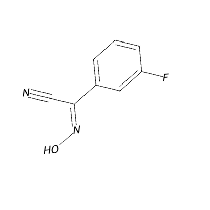 N#CC(=NO)c1cccc(F)c1